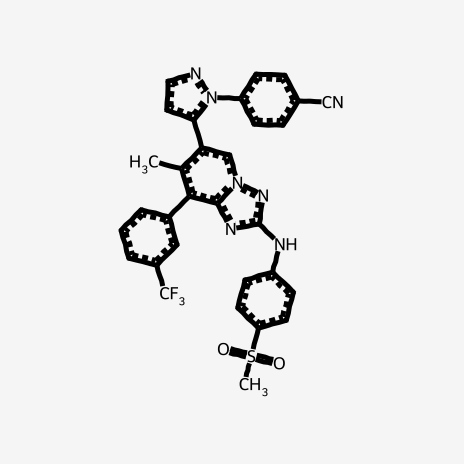 Cc1c(-c2ccnn2-c2ccc(C#N)cc2)cn2nc(Nc3ccc(S(C)(=O)=O)cc3)nc2c1-c1cccc(C(F)(F)F)c1